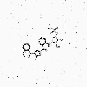 COS(=O)(=O)N[C@@H]1C[C@@H](Nc2ncncc2C(=O)c2cc([C@@H]3OCCc4ccccc43)c(C)s2)[C@H](O)[C@@H]1O